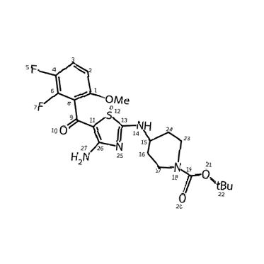 COc1ccc(F)c(F)c1C(=O)c1sc(NC2CCN(C(=O)OC(C)(C)C)CC2)nc1N